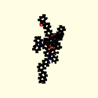 Cc1c(-c2ccccc2N(c2ccc(-c3cccc(-c4ccc5ccccc5c4)c3)cc2)c2ccc(-c3cccc(N4c5ccccc5C5C=CC=CC54)c3)cc2)cccc1-c1cccc(-c2cc(-c3ccc4ccccc4c3)cc(N(c3ccc(-c4ccc5c(c4)oc4ccccc45)cc3)c3ccccc3-c3cccc4c3oc3ccccc34)c2)c1O